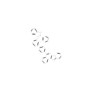 c1ccc(C2Nc3ccccc3N2c2cccc(-c3ccc(-c4nc5c(nc6ccccn65)c5ccccc45)cc3)c2)cc1